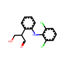 O=CC(CO)c1ccccc1Nc1c(Cl)cccc1Cl